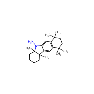 CC1(C)CCC(C)(C)c2cc3c(cc21)N(N)C1(C)CCCCC31C